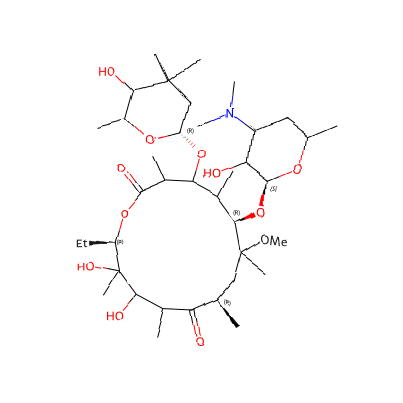 CC[C@H]1OC(=O)C(C)C(O[C@H]2CC(C)(C)C(O)C(C)O2)C(C)[C@@H](O[C@@H]2OC(C)CC(N(C)C)C2O)C(C)(OC)C[C@@H](C)C(=O)C(C)C(O)C1(C)O